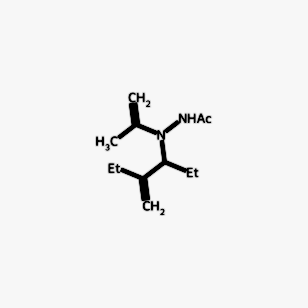 C=C(CC)C(CC)N(NC(C)=O)C(=C)C